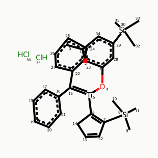 Cc1cc([O][Ti]([C]2=C([Si](C)(C)C)C=CC2)=[C](c2ccccc2)c2ccccc2)cc([Si](C)(C)C)c1.Cl.Cl